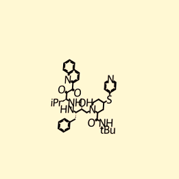 CC(C)[C@H](NN[C@@H](Cc1ccccc1)[C@H](O)CN1CCC(Sc2ccncc2)CC1C(=O)NC(C)(C)C)C(=O)C(=O)c1ccc2ccccc2n1